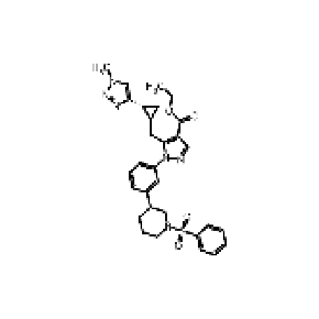 CCOC(=O)c1cnn(-c2cccc(C3CCCN(S(=O)(=O)c4ccccc4)C3)c2)c1CC1C[C@H]1c1cn(C)nn1